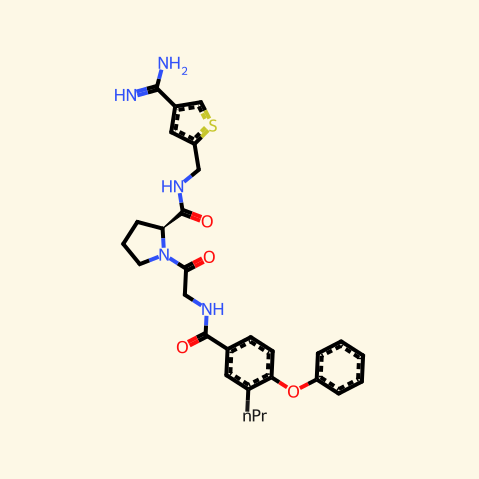 CCCc1cc(C(=O)NCC(=O)N2CCC[C@H]2C(=O)NCc2cc(C(=N)N)cs2)ccc1Oc1ccccc1